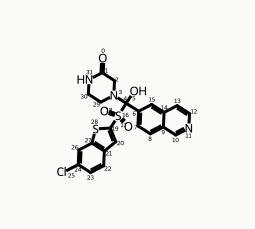 O=C1CN(C(O)(c2ccc3cnccc3c2)S(=O)(=O)c2cc3ccc(Cl)cc3s2)CCN1